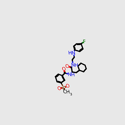 CS(=O)(=O)c1cccc(C(=O)NC(CC2CCCCC2)C(=O)NCCNc2ccc(F)cc2)c1